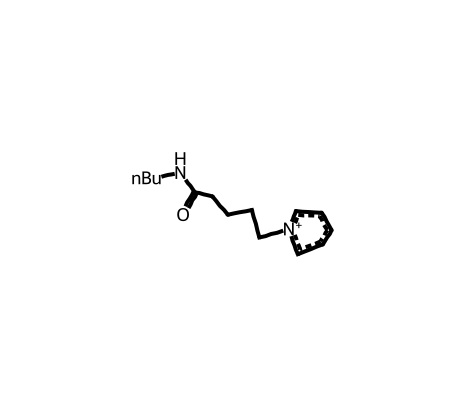 [CH2]CCCNC(=O)CCCC[n+]1ccccc1